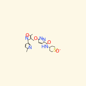 Cc1ccc(-c2noc(C)c2COc2ccc(C(=O)NC3CC[S+]([O-])CC3)nn2)cn1